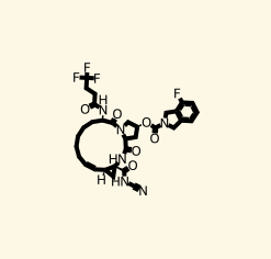 N#CNC(=O)[C@@]12C[C@H]1/C=C\CCCCC[C@H](NC(=O)CCC(F)(F)F)C(=O)N1C[C@H](OC(=O)N3Cc4cccc(F)c4C3)CC1C(=O)N2